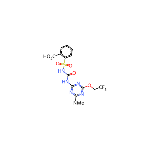 CNc1nc(NC(=O)NS(=O)(=O)c2ccccc2C(=O)O)nc(OCC(F)(F)F)n1